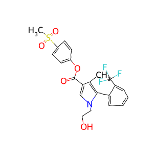 Cc1c(C(=O)Oc2ccc(S(C)(=O)=O)cc2)cn(CCO)c1-c1ccccc1C(F)(F)F